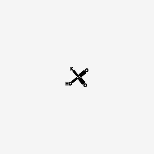 O=[S](=O)(O)[K]